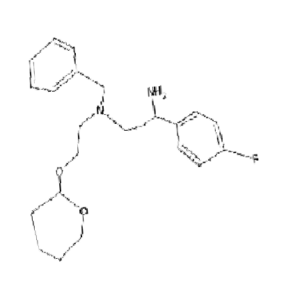 NC(CN(CCOC1CCCCO1)Cc1ccccc1)c1ccc(F)cc1